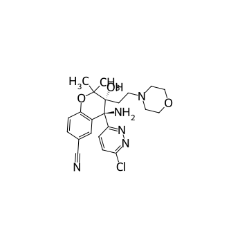 CC1(C)Oc2ccc(C#N)cc2[C@@](N)(c2ccc(Cl)nn2)[C@]1(O)CCN1CCOCC1